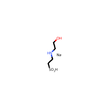 O=S(=O)(O)CCNCCO.[Na]